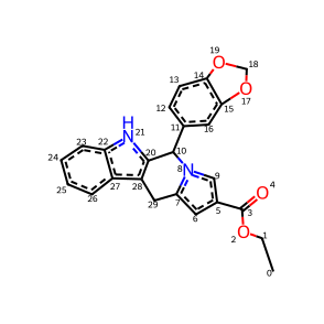 CCOC(=O)c1cc2n(c1)C(c1ccc3c(c1)OCO3)c1[nH]c3ccccc3c1C2